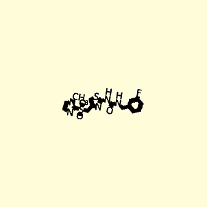 Cn1ccnc1S(=O)(=O)Cc1csc(NC(=O)NCc2cccc(F)c2)n1